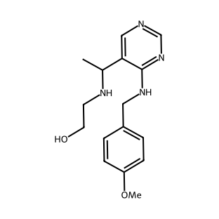 COc1ccc(CNc2ncncc2C(C)NCCO)cc1